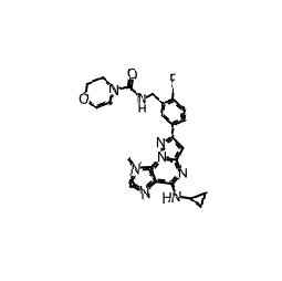 Cn1cnc2c(NC3CC3)nc3cc(-c4ccc(F)c(CNC(=O)N5CCOCC5)c4)nn3c21